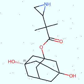 CC(C)(C(=O)OC12CC3CC(O)(C1)C[C@@](O)(C3)C2)C1CN1